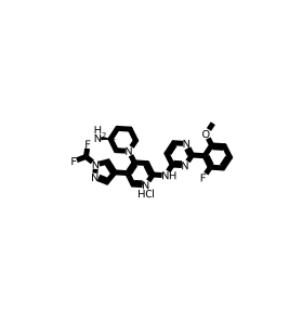 COc1cccc(F)c1-c1nccc(Nc2cc(N3CCC[C@H](N)C3)c(-c3cnn(C(F)F)c3)cn2)n1.Cl